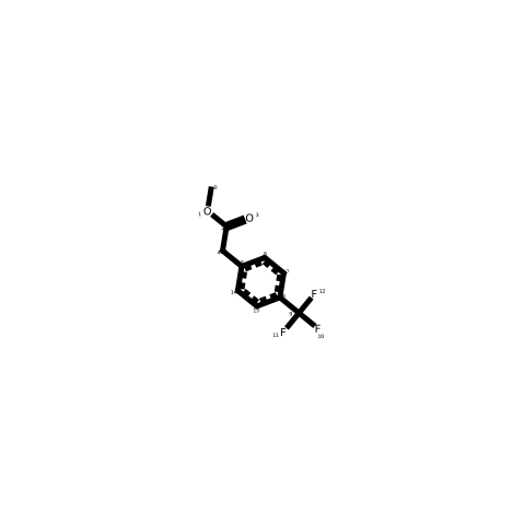 COC(=O)Cc1ccc(C(F)(F)F)cc1